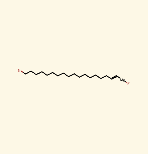 BrCCCCCCCCCCCCCCCCC=[CH][Mg][Br]